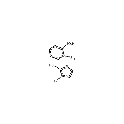 CCn1ccnc1C.Cc1ccccc1S(=O)(=O)O